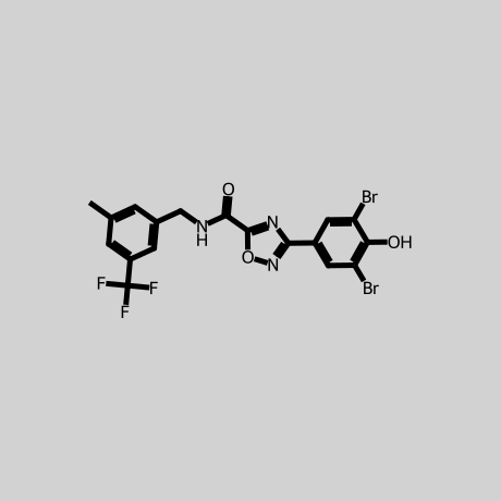 Cc1cc(CNC(=O)c2nc(-c3cc(Br)c(O)c(Br)c3)no2)cc(C(F)(F)F)c1